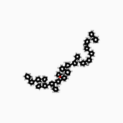 c1ccc([Si](c2ccccc2)(c2cccc(-c3cccc4c3sc3ccccc34)c2)c2cccc(-c3ccc(-c4ccc5c(c4)sc4c([Si](c6ccccc6)(c6ccccc6)c6cccc7c6sc6cc(-c8ccc9c(c8)c8ccccc8n9-c8ccc9oc%10ccc(-c%11cccc(-c%12ccc%13oc%14ccc(-n%15c%16ccccc%16c%16ccccc%16%15)cc%14c%13c%12)c%11)cc%10c9c8)ccc67)cccc45)c4c3sc3ccccc34)c2)cc1